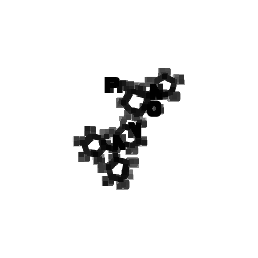 CC(C)c1ccc(CN2CCN(C(c3ccccc3)c3ccccc3)CC2)c(=O)c(N2CCCCC2)c1